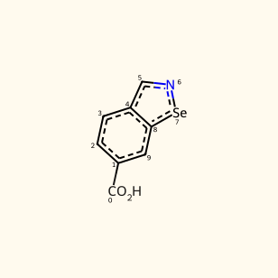 O=C(O)c1ccc2cn[se]c2c1